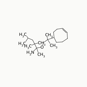 CC(C)CC(C)(C)C(C)(N)OCC(C)(C)C1CC/C=C\CCC1